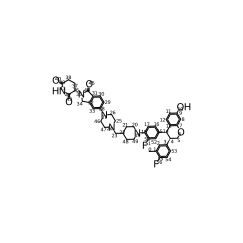 Cc1cc([C@@H]2COc3cc(O)ccc3[C@@H]2c2ccc(N3CCC(CN4CCN(c5ccc6c(c5)CN([C@H]5CCC(=O)NC5=O)C6=O)CC4)CC3)c(F)c2)ccc1F